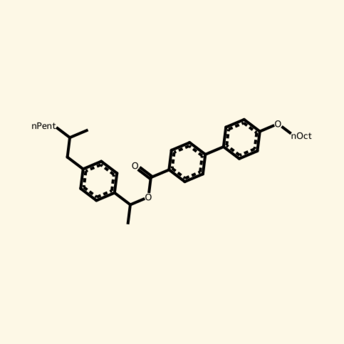 CCCCCCCCOc1ccc(-c2ccc(C(=O)OC(C)c3ccc(CC(C)CCCCC)cc3)cc2)cc1